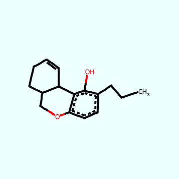 CCCc1ccc2c(c1O)C1C=CCCC1CO2